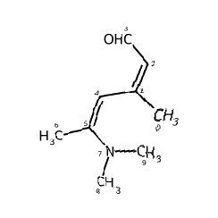 CC(=CC=O)C=C(C)N(C)C